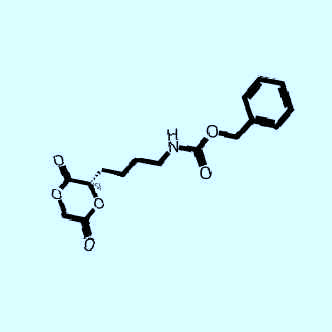 O=C1COC(=O)[C@H](CCCCNC(=O)OCc2ccccc2)O1